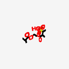 C=C(C)C(=O)OCCOC(=O)C(C)C(C)S(=O)(=O)O